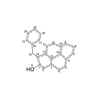 Oc1cc2ccc3cccc4ccc(c1Cc1ccccc1)c2c34